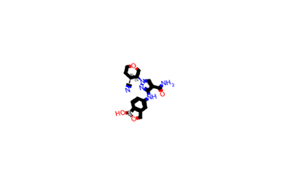 N#C[C@@H]1CCOC[C@H]1n1cc(C(N)=O)c(Nc2ccc3c(c2)COB3O)n1